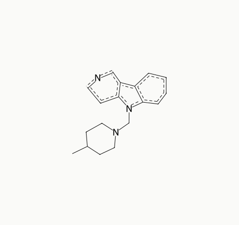 CC1CCN(Cn2c3ccccc3c3cnccc32)CC1